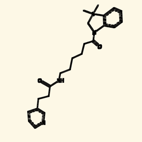 CS1(C)CN(C(=O)CCCCCNC(=O)CCc2cccnc2)c2ccccc21